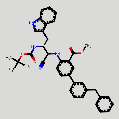 COC(=O)c1cc(-c2cccc(Cc3ccccc3)c2)ccc1NC(C#N)[C@H](Cc1c[nH]c2ccccc12)NC(=O)OC(C)(C)C